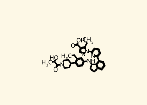 CCc1cc(NC2CCc3cccc(-c4cccc(-n5ncc(C(=O)O)c5CC)n4)c32)ccc1C1CCN(C(=O)C(C)O)CC1